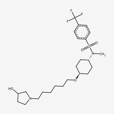 CN([C@H]1CC[C@H](OCCCCCCN2CCC(O)C2)CC1)S(=O)(=O)c1ccc(C(F)(F)F)cc1